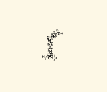 CC(C)(C)OC(=O)N1CCC(N2CCN(N(C=O)CCN3CCC(C(=O)O)CC3)CC2)CC1